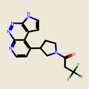 O=C(CC(F)(F)F)N1CCC(c2ccnc3nnc4[nH]ccc4c23)C1